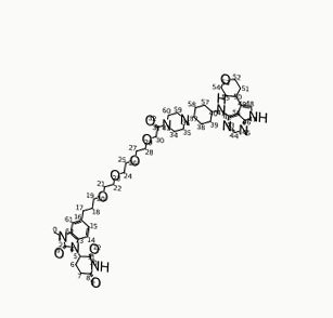 Cn1c(=O)n(C2CCC(=O)NC2=O)c2ccc(CCCOCCOCCOCCOCC(=O)N3CCN([C@H]4CC[C@H](Nc5ncnc6[nH]cc(C7CCOCC7)c56)CC4)CC3)cc21